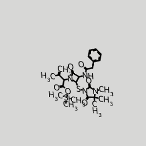 C=C(C)C(C(=O)O[Si](C)(C)C)N1C(=O)C(NC(=O)Cc2ccccc2)C1SN1C(=O)N(C)C(C)(C)C1=O